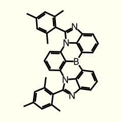 Cc1cc(C)c(-c2nc3cccc4c3n2-c2cccc3c2B4c2cccc4nc(-c5c(C)cc(C)cc5C)n-3c24)c(C)c1